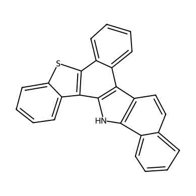 c1ccc2c(c1)ccc1c2[nH]c2c1c1ccccc1c1sc3ccccc3c21